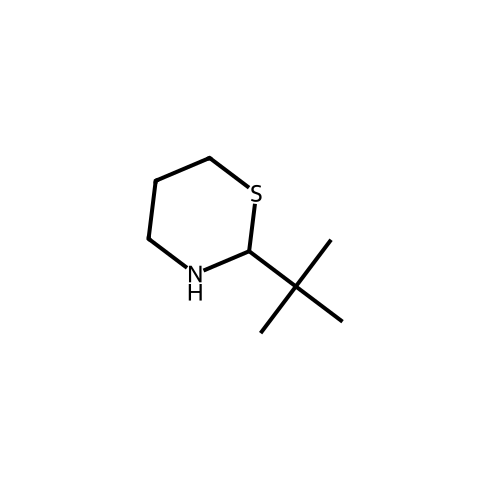 CC(C)(C)C1NCCCS1